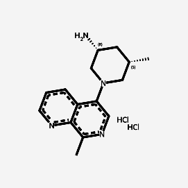 Cc1ncc(N2C[C@@H](C)C[C@@H](N)C2)c2cccnc12.Cl.Cl